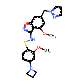 COc1cc(N2CCC2)ccc1SNc1noc2cc(Cn3cccn3)cc(OC)c12